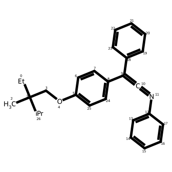 CCC(C)(COc1ccc(C(=C=Nc2ccccc2)c2ccccc2)cc1)C(C)C